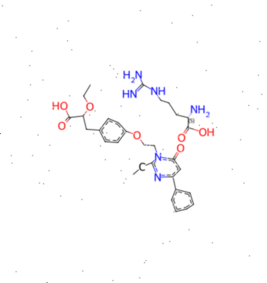 CCOC(Cc1ccc(OCCn2c(CC)nc(-c3ccccc3)cc2=O)cc1)C(=O)O.N=C(N)NCCC[C@H](N)C(=O)O